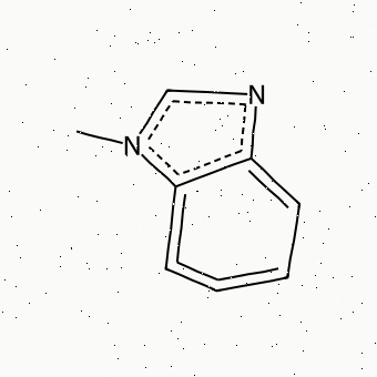 Cn1cnc2c1=C=C=CC=2